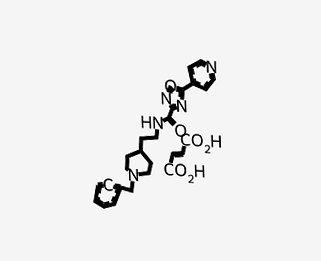 O=C(NCCC1CCN(Cc2ccccc2)CC1)c1noc(-c2ccncc2)n1.O=C(O)C=CC(=O)O